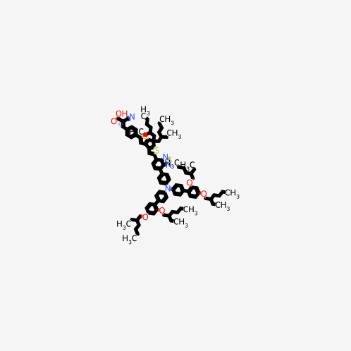 CCCCC(CC)COc1ccc(-c2ccc(N(c3ccc(-c4ccc(OCC(CC)CCCC)cc4OCC(CC)CCCC)cc3)c3ccc(-c4ccc(-c5cc6c(s5)C(CC(CC)CCCC)(CC(CC)CCCC)c5sc(-c7ccc(/C=C(\C#N)C(=O)O)cc7)cc5-6)c5nsnc45)cc3)cc2)c(OCC(CC)CCCC)c1